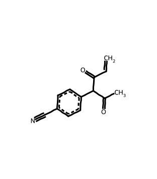 C=CC(=O)C(C(C)=O)c1ccc(C#N)cc1